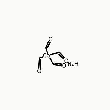 O=[CH][Co]([CH]=O)([CH]=O)[CH]=O.[NaH]